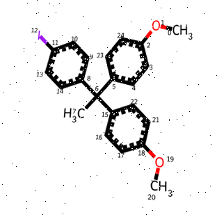 COc1ccc(C(C)(c2ccc(I)cc2)c2ccc(OC)cc2)cc1